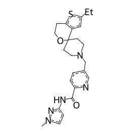 CCc1cc2c(s1)CCOC21CCN(Cc2ccc(C(=O)Nc3ccn(C)n3)nc2)CC1